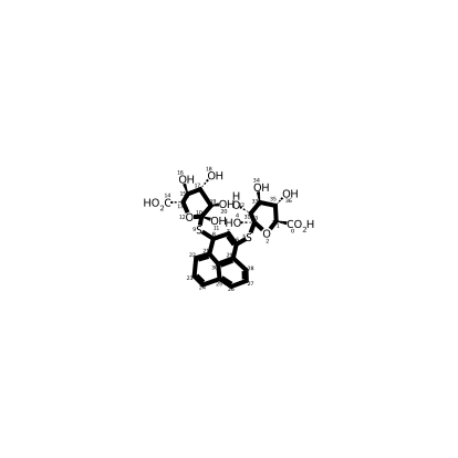 O=C(O)[C@H]1O[C@@](O)(SC2=CC(S[C@]3(O)O[C@H](C(=O)O)[C@@H](O)[C@H](O)[C@H]3O)c3cccc4cccc2c34)[C@H](O)[C@@H](O)[C@@H]1O